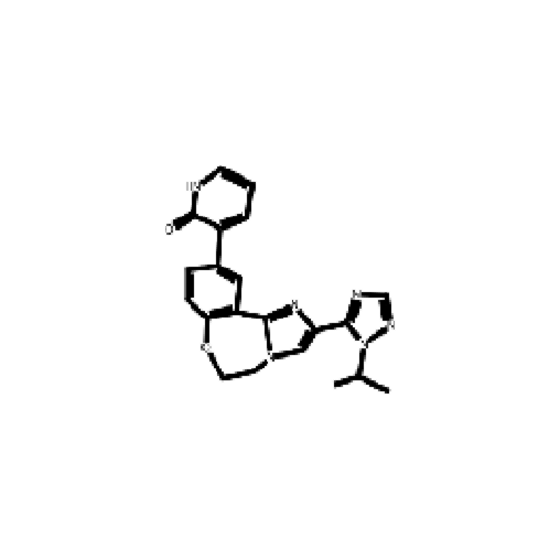 CC(C)n1ncnc1-c1cn2c(n1)-c1cc(-c3ccc[nH]c3=O)ccc1OCC2